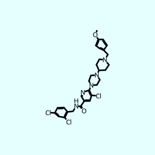 COc1ccc(CN2CCC(N3CCN(c4ncc(C(=O)NCc5ccc(Cl)cc5Cl)cc4Cl)CC3)CC2)cc1